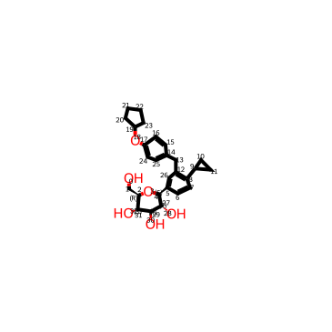 OC[C@H]1O[C@@H](c2ccc(C3CC3)c(Cc3ccc(OC4CCCC4)cc3)c2)[C@H](O)[C@@H](O)[C@@H]1O